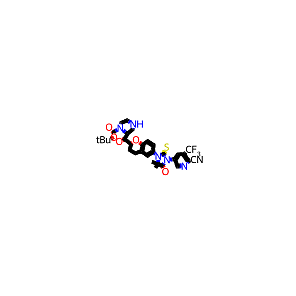 CC(C)(C)OC(=O)N1CCNCC1C(=O)C1CCc2cc(N3C(=S)N(c4cnc(C#N)c(C(F)(F)F)c4)C(=O)C3(C)C)ccc2O1